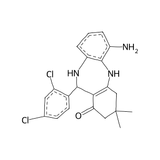 CC1(C)CC(=O)C2=C(C1)Nc1c(N)cccc1NC2c1ccc(Cl)cc1Cl